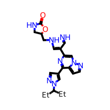 CCC(CC)n1cc(-c2nc(/C(C=N)=C/NCC3CNC(=O)O3)cn3nccc23)cn1